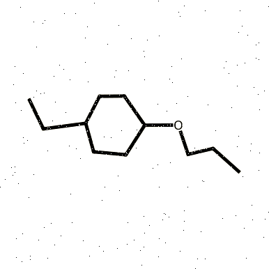 CCCOC1CCC(CC)CC1